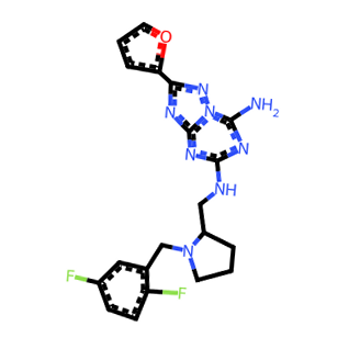 Nc1nc(NCC2CCCN2Cc2cc(F)ccc2F)nc2nc(-c3ccco3)nn12